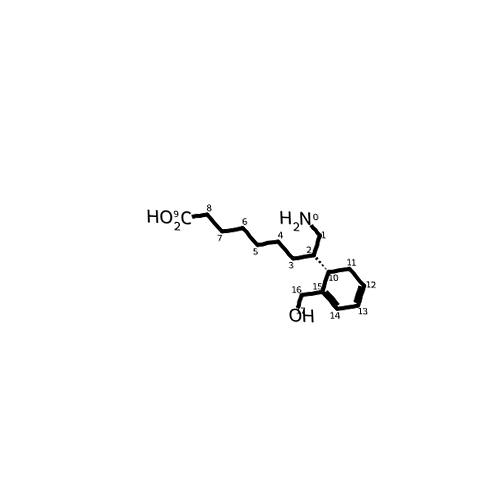 NCC(CCCCCCC(=O)O)[C@@H]1CC=CC=C1CO